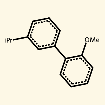 COc1ccccc1-c1cccc(C(C)C)c1